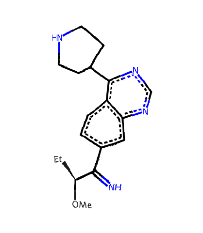 CC[C@H](OC)C(=N)c1ccc2c(C3CCNCC3)ncnc2c1